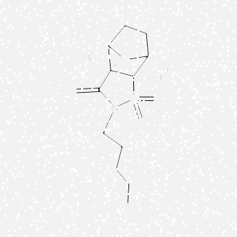 O=C1[C@H]2C3CC[C@H](O3)[C@H]2S(=O)(=O)N1CCCCBr